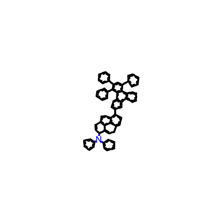 C1=CC(N(c2ccccc2)c2ccccc2)C2=CCc3ccc(-c4ccc5c(c4)c4ccccc4c4c(-c6ccccc6)cc(-c6ccccc6)c(-c6ccccc6)c54)c4ccc1c2c34